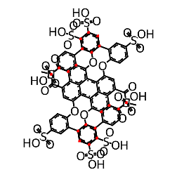 CN1C(=O)c2cc(Oc3ccc(S(=O)(=O)O)cc3-c3ccc(S(=O)(=O)O)cc3)c3c4c(Oc5ccc(S(=O)(=O)O)cc5-c5ccc(S(=O)(=O)O)cc5)cc5c6c(cc(Oc7ccc(S(=O)(=O)O)cc7-c7ccc(S(=O)(=O)O)cc7)c(c7c(Oc8ccc(S(=O)(=O)O)cc8-c8ccc(S(=O)(=O)O)cc8)cc(c2c37)C1=O)c64)C(=O)N(C)C5=O